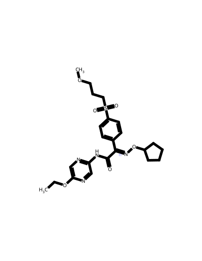 CCOc1cnc(NC(=O)/C(=N/OC2CCCC2)c2ccc(S(=O)(=O)CCCOC)cc2)cn1